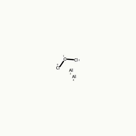 ClOCl.[Al].[Al]